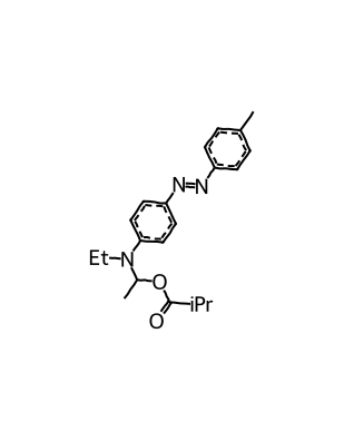 CCN(c1ccc(/N=N/c2ccc(C)cc2)cc1)C(C)OC(=O)C(C)C